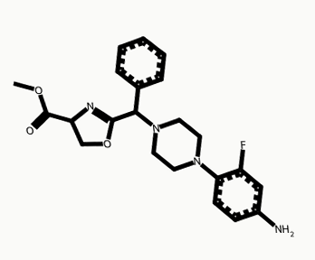 COC(=O)C1COC(C(c2ccccc2)N2CCN(c3ccc(N)cc3F)CC2)=N1